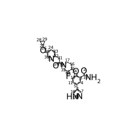 NC(=O)c1cc(-c2cn[nH]c2)ccc1O[C@@H]1CCN(C(=O)Cc2ccc(OC3CC3)cn2)C[C@@H]1F